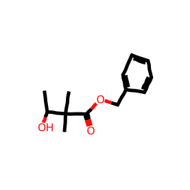 CC(O)C(C)(C)C(=O)OCc1ccccc1